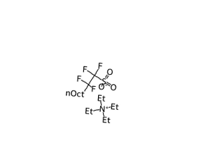 CCCCCCCCC(F)(F)C(F)(F)S(=O)(=O)[O-].CC[N+](CC)(CC)CC